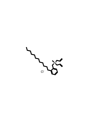 C=CC[N+](C)(CC=C)Cc1ccccc1CCCCCCCCCCCC.[Cl-]